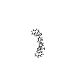 O=C(Nc1cccc2ccccc12)c1ccc(-c2ccc(NC(=O)c3cccc4ccccc34)cn2)nc1